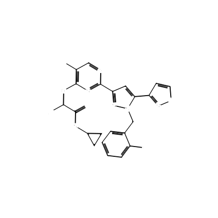 O=C(NC1CC1)C(Nc1nc(-c2cc(-c3ccon3)n(Cc3ccccc3F)n2)ncc1F)C(F)(F)F